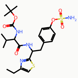 CCc1csc(C(Cc2ccc(OS(N)(=O)=O)cc2)NC(=O)C(NC(=O)OC(C)(C)C)C(C)C)n1